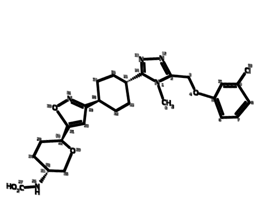 Cn1c(COc2cccc(Cl)c2)nnc1[C@H]1CC[C@H](c2cc([C@@H]3CC[C@@H](NC(=O)O)CO3)on2)CC1